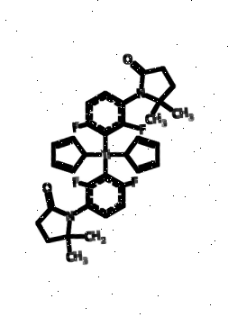 CC1(C)CCC(=O)N1c1ccc(F)[c]([Ti]([c]2c(F)ccc(N3C(=O)CCC3(C)C)c2F)([CH]2C=CC=C2)[CH]2C=CC=C2)c1F